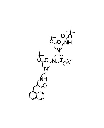 CC(C)(C)OC(=O)CN(CCNCC1=Cc2cccc3cccc(c23)C1=O)CCN(CCN(CCNC(=O)OC(C)(C)C)CC(=O)OC(C)(C)C)CC(=O)OC(C)(C)C